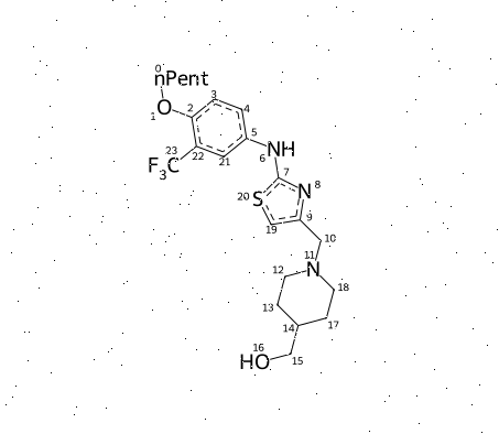 CCCCCOc1ccc(Nc2nc(CN3CCC(CO)CC3)cs2)cc1C(F)(F)F